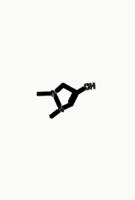 CN1C=C(O)CN1C